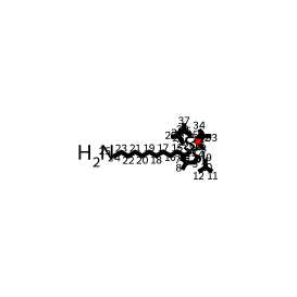 CC(C)C[Si](CC(C)C)(CC(C)C)C(CCCCCCCCCCCN)[Si](CC(C)C)(CC(C)C)CC(C)C